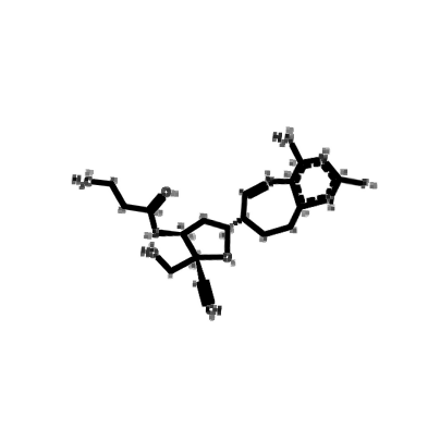 C#C[C@]1(CO)O[C@@H](C2C=Nc3c(N)nc(F)nc3CC2)C[C@@H]1SC(=O)CCC